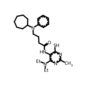 CCN(CC)c1nc(C)nc(S)c1NC(=O)CCCN(c1ccccc1)C1CCCCCC1